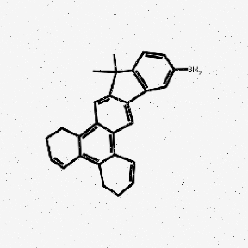 Bc1ccc2c(c1)-c1cc3c4c(c5c(c3cc1C2(C)C)CCC=C5)CCC=C4